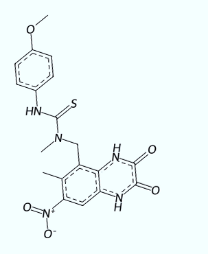 COc1ccc(NC(=S)N(C)Cc2c(C)c([N+](=O)[O-])cc3[nH]c(=O)c(=O)[nH]c23)cc1